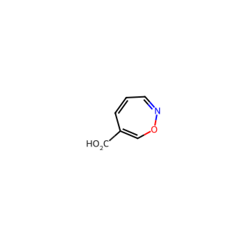 O=C(O)C1=CON=CC=C1